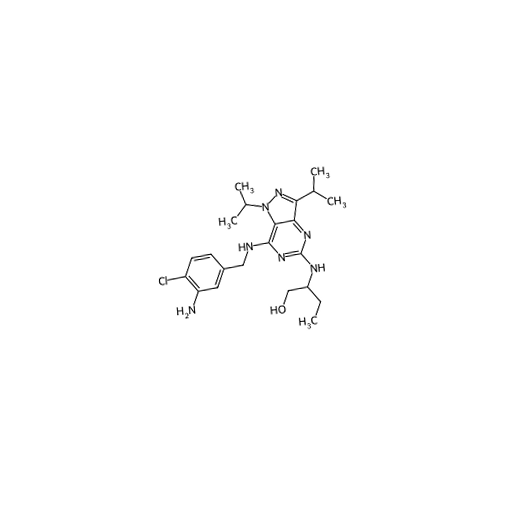 CCC(CO)Nc1nc(NCc2ccc(Cl)c(N)c2)c2c(n1)c(C(C)C)nn2C(C)C